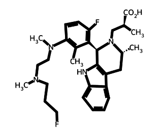 Cc1c(N(C)CCN(C)CCCF)ccc(F)c1[C@@H]1c2[nH]c3ccccc3c2C[C@@H](C)N1C[C@H](C)C(=O)O